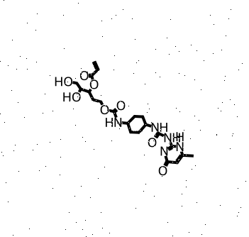 C=CC(=O)OC(CCOC(=O)NC1CCC(NC(=O)Nc2nc(=O)cc(C)[nH]2)CC1)C(O)CO